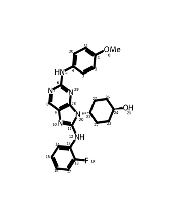 COc1ccc(Nc2ncc3nc(Nc4ccccc4F)n([C@H]4CC[C@H](O)CC4)c3n2)cc1